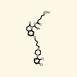 CCCCCCCCCCCCCCC(=O)OC(C(C)C)N1C(=O)CCc2ccc(OCCCCN3CCN(c4cccc(Cl)c4Cl)CC3)cc21